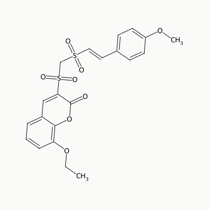 CCOc1cccc2cc(S(=O)(=O)CS(=O)(=O)C=Cc3ccc(OC)cc3)c(=O)oc12